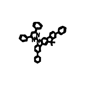 CC1(C)c2cc(-c3ccccc3)ccc2-c2cc3c(cc21)c1cc(-c2ccccc2)ccc1n3-c1nc(-c2ccccc2)cc(-c2ccccc2)n1